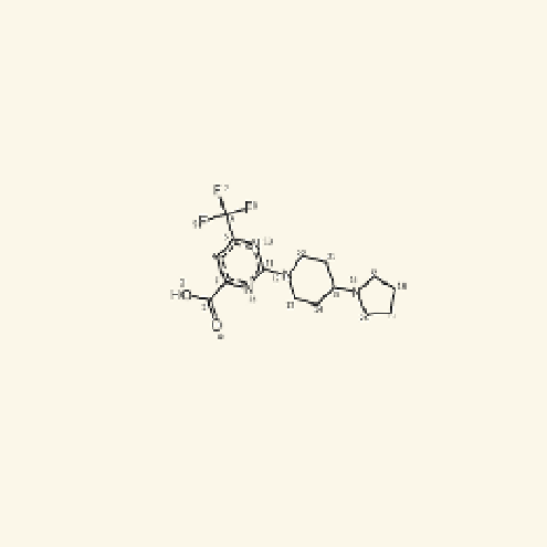 O=C(O)c1cc(C(F)(F)F)nc(N2CCC(N3CCCC3)CC2)n1